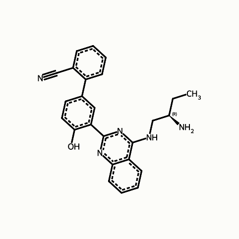 CC[C@@H](N)CNc1nc(-c2cc(-c3ccccc3C#N)ccc2O)nc2ccccc12